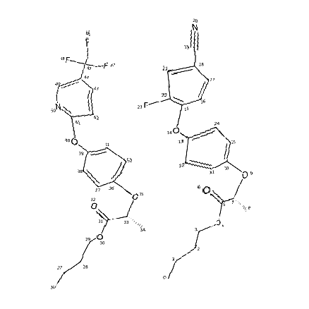 CCCCOC(=O)[C@@H](C)Oc1ccc(Oc2ccc(C#N)cc2F)cc1.CCCCOC(=O)[C@@H](C)Oc1ccc(Oc2ccc(C(F)(F)F)cn2)cc1